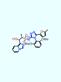 COc1cccc(OC)c1-n1c(NS(=O)(=O)[C@H](C)[C@H](O)c2ncn3ccccc23)nnc1-c1ccc(C)o1